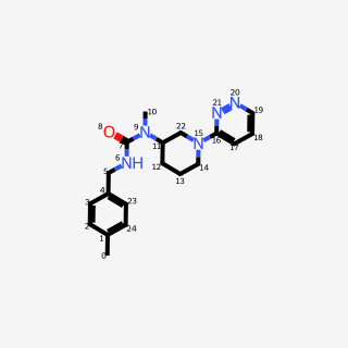 Cc1ccc(CNC(=O)N(C)C2CCCN(c3cccnn3)C2)cc1